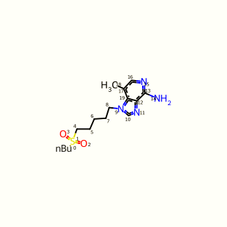 CCCCS(=O)(=O)CCCCCn1cnc2c(N)ncc(C)c21